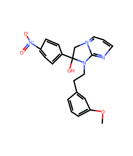 COc1cccc(CCN2c3nccc[n+]3CC2(O)c2ccc([N+](=O)[O-])cc2)c1